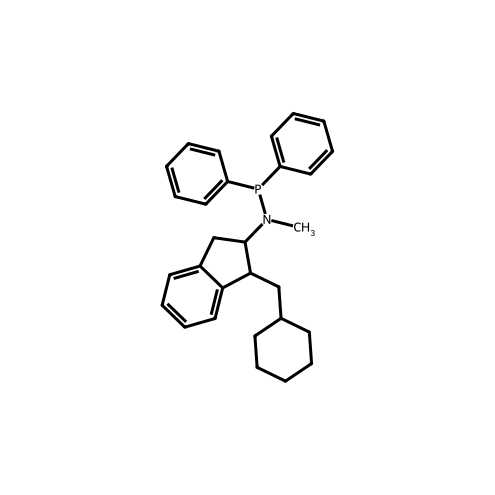 CN(C1Cc2ccccc2C1CC1CCCCC1)P(c1ccccc1)c1ccccc1